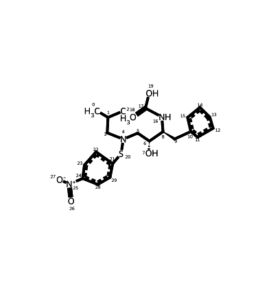 CC(C)CN(C[C@@H](O)[C@H](Cc1ccccc1)NC(=O)O)Sc1ccc([N+](=O)[O-])cc1